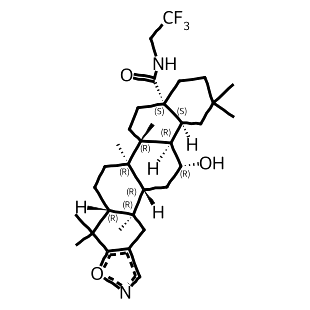 CC1(C)CC[C@]2(C(=O)NCC(F)(F)F)CC[C@]3(C)[C@H]([C@H](O)C[C@@H]4[C@@]5(C)Cc6cnoc6C(C)(C)[C@@H]5CC[C@]43C)[C@@H]2C1